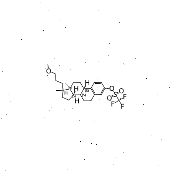 COCCC[C@@]1(C)CC[C@H]2[C@@H]3CCc4cc(OS(=O)(=O)C(F)(F)F)ccc4[C@H]3CC[C@@]21C